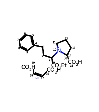 CCOC(=O)C(CCc1ccccc1)N1CCC[C@H]1C(=O)O.O=C(O)/C=C\C(=O)O